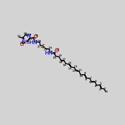 CCC=CCC=CCC=CCC=CCC=CCC=CCCC(=O)NCCSCCNC(=O)c1c[n+]([O-])c(C)cn1